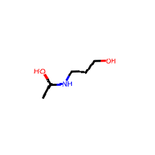 CC(O)NCCCO